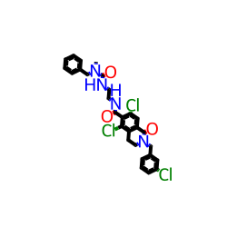 CN(Cc1ccccc1)C(=O)NCCNC(=O)c1c(Cl)cc2c(c1Cl)CCN(Cc1cccc(Cl)c1)C2=O